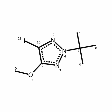 COc1nn(C(C)(C)C)nc1I